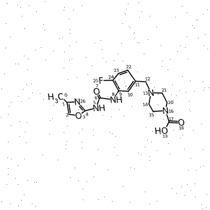 Cc1coc(NC(=O)Nc2cc(CN3CCN(C(=O)O)CC3)ccc2F)n1